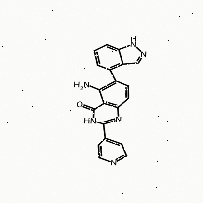 Nc1c(-c2cccc3[nH]ncc23)ccc2nc(-c3ccncc3)[nH]c(=O)c12